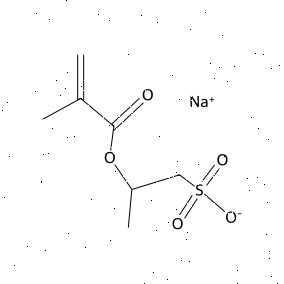 C=C(C)C(=O)OC(C)CS(=O)(=O)[O-].[Na+]